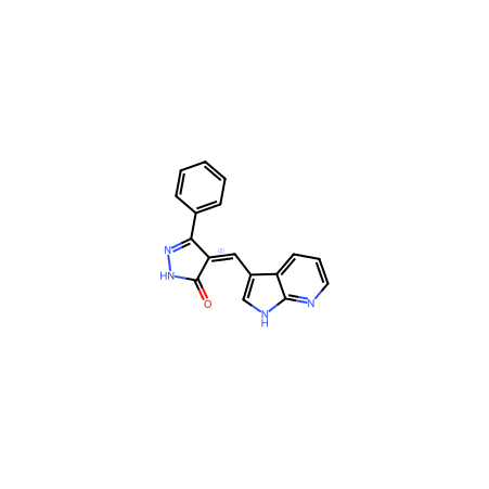 O=C1NN=C(c2ccccc2)/C1=C/c1c[nH]c2ncccc12